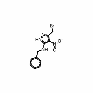 O=[N+]([O-])c1c(CBr)n[nH]c1NCc1ccccc1